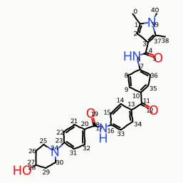 Cc1cc(C(=O)Nc2ccc(C(=O)c3ccc(NC(=O)c4ccc(N5CCC(O)CC5)cc4)cc3)cc2)c(C)n1C